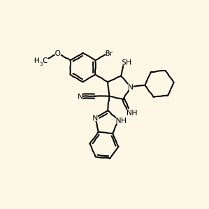 COc1ccc(C2C(S)N(C3CCCCC3)C(=N)C2(C#N)c2nc3ccccc3[nH]2)c(Br)c1